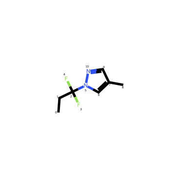 CCC(F)(F)n1cc(C)cn1